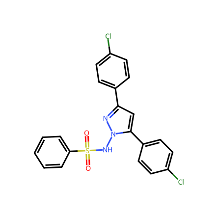 O=S(=O)(Nn1nc(-c2ccc(Cl)cc2)cc1-c1ccc(Cl)cc1)c1ccccc1